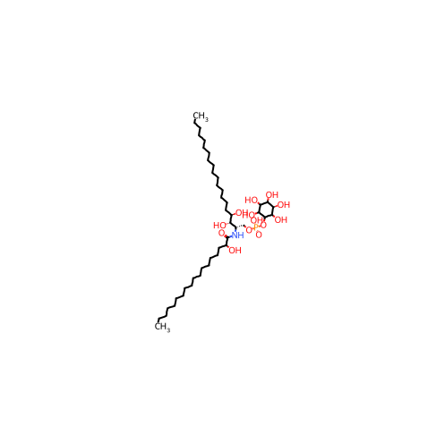 CCCCCCCCCCCCCCCCC(O)C(=O)N[C@@H](COP(=O)(O)OC1C(O)C(O)C(O)[C@@H](O)C1O)[C@H](O)[C@H](O)CCCCCCCCCCCCCCCC